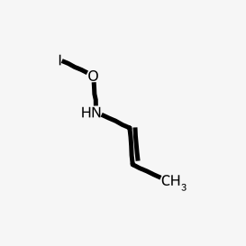 CC=CNOI